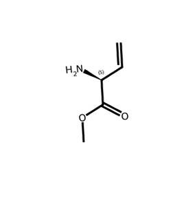 C=C[C@H](N)C(=O)OC